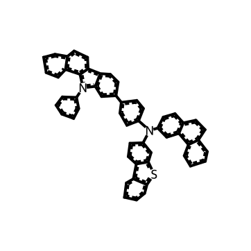 c1ccc(-n2c3cc(-c4ccc(N(c5ccc6c(c5)sc5ccccc56)c5ccc6ccc7ccccc7c6c5)cc4)ccc3c3ccc4ccccc4c32)cc1